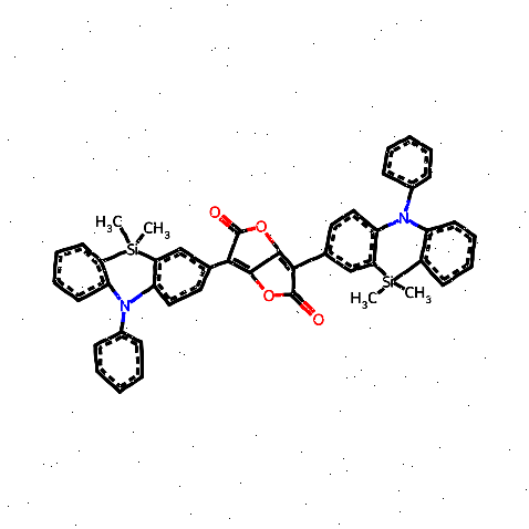 C[Si]1(C)c2ccccc2N(c2ccccc2)c2ccc(C3=C4OC(=O)C(c5ccc6c(c5)[Si](C)(C)c5ccccc5N6c5ccccc5)=C4OC3=O)cc21